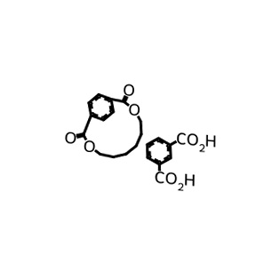 O=C(O)c1cccc(C(=O)O)c1.O=C1OCCCCCCOC(=O)c2ccc1cc2